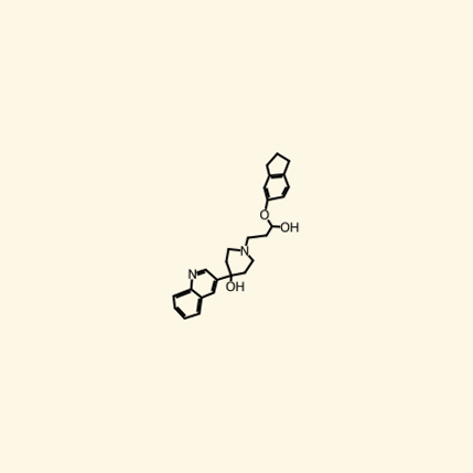 OC(CCN1CCC(O)(c2cnc3ccccc3c2)CC1)Oc1ccc2c(c1)CCC2